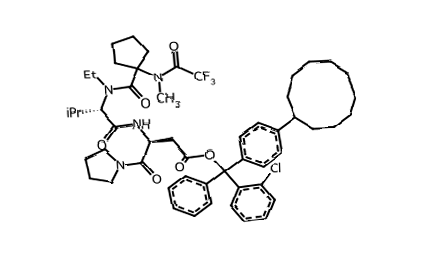 CCN(C(=O)C1(N(C)C(=O)C(F)(F)F)CCCC1)[C@H](C(=O)N[C@@H](CC(=O)OC(c1ccccc1)(c1ccc(C2CCCCCCCCC2)cc1)c1ccccc1Cl)C(=O)N1CCCC1)C(C)C